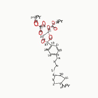 CCC[C@H]1CC[C@H](CCCCc2ccc(C3O[C@H](OC(=O)OC(C)C)[C@@H](OC(=O)OC(C)C)O3)cc2)CC1